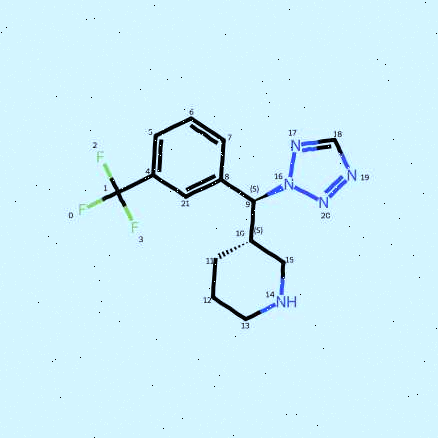 FC(F)(F)c1cccc([C@H]([C@H]2CCCNC2)n2ncnn2)c1